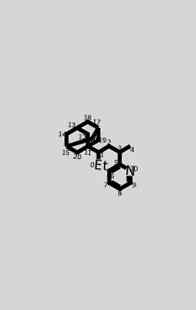 CCC(CC(C)c1ccccn1)C12CC3CC(CC(C3)C1)C2